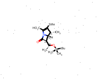 CSC1=C(C(=O)O)N2C(=O)[C@H]([C@@H](C)O[Si](C)(C)C(C)(C)C)[C@H]2[C@H]1C